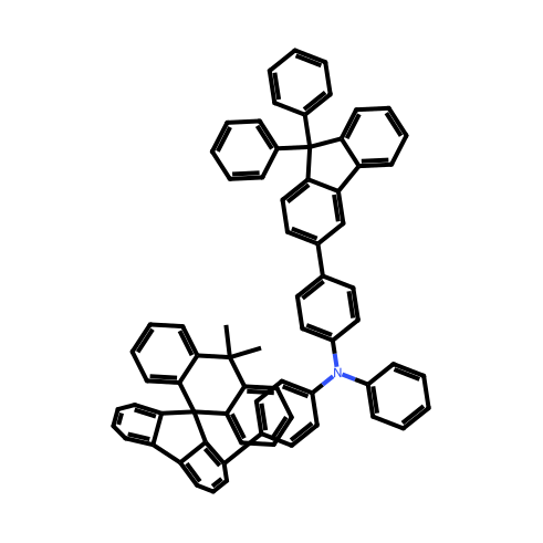 CC1(C)c2ccccc2C2(c3ccccc3-c3cccc(-c4ccc(N(c5ccccc5)c5ccc(-c6ccc7c(c6)-c6ccccc6C7(c6ccccc6)c6ccccc6)cc5)cc4)c32)c2ccccc21